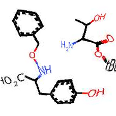 CC(O)C(N)C(=O)OC(C)(C)C.O=C(O)C(Cc1ccc(O)cc1)NOCc1ccccc1